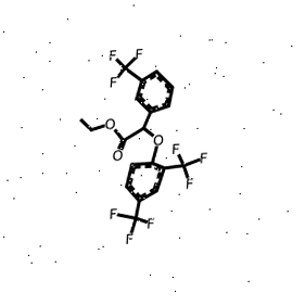 CCOC(=O)C(Oc1ccc(C(F)(F)F)cc1C(F)(F)F)c1cccc(C(F)(F)F)c1